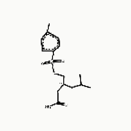 Cc1ccc(S(=O)(=O)OC[C@H](CC(=O)O)CC(C)C)cc1